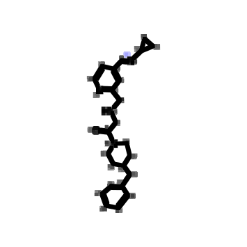 O=C(CNCc1cc(/C=N/C2CC2)ccn1)N1CCC(Cc2ccccc2)CC1